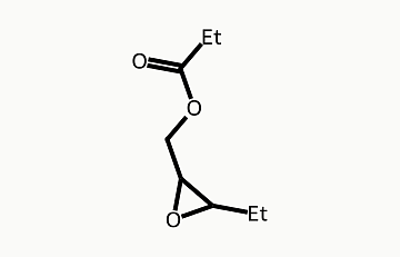 CCC(=O)OCC1OC1CC